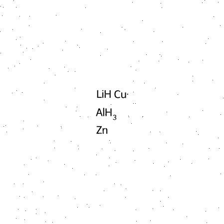 [AlH3].[Cu].[LiH].[Zn]